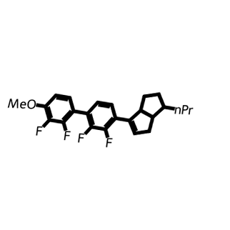 CCCC1CCC2C(c3ccc(-c4ccc(OC)c(F)c4F)c(F)c3F)=CCC12